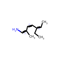 C\C=C(/C=C\C(C)=C/N)CC